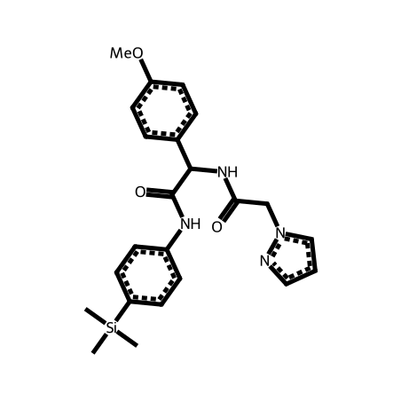 COc1ccc(C(NC(=O)Cn2cccn2)C(=O)Nc2ccc([Si](C)(C)C)cc2)cc1